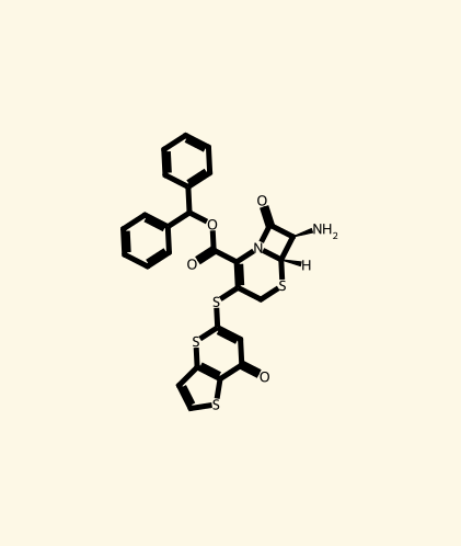 N[C@@H]1C(=O)N2C(C(=O)OC(c3ccccc3)c3ccccc3)=C(Sc3cc(=O)c4sccc4s3)CS[C@@H]12